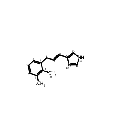 Cc1cccc(CC=Cc2c[nH]cn2)c1C